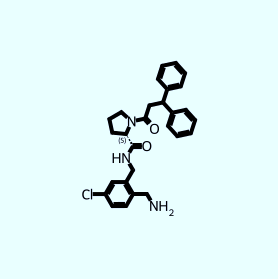 NCc1ccc(Cl)cc1CNC(=O)[C@@H]1CCCN1C(=O)CC(c1ccccc1)c1ccccc1